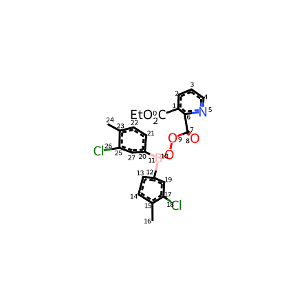 CCOC(=O)c1cccnc1C(=O)OOB(c1ccc(C)c(Cl)c1)c1ccc(C)c(Cl)c1